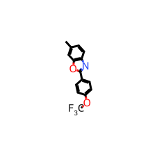 Cc1ccc2nc(-c3ccc(OC(F)(F)F)cc3)oc2c1